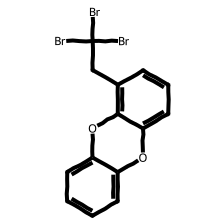 BrC(Br)(Br)Cc1cccc2c1Oc1ccccc1O2